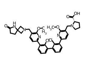 COc1nc(-c2cccc(-c3cccc(-c4ccc(CN5CCC[C@H]5C(=O)O)c(OC)n4)c3Cl)c2Cl)ccc1CN1CC2(CCC(=O)N2)C1